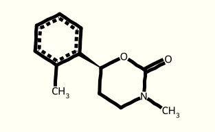 Cc1ccccc1[C@@H]1CCN(C)C(=O)O1